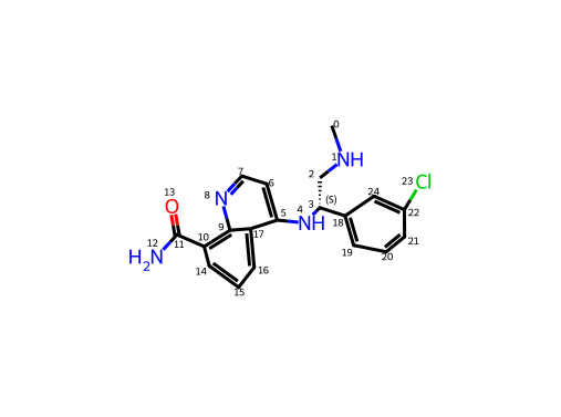 CNC[C@@H](Nc1ccnc2c(C(N)=O)cccc12)c1cccc(Cl)c1